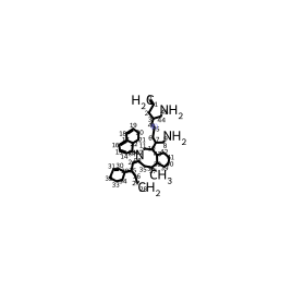 C=CCC(/C=C/CC(CN)C1CN([C@H]2C=CC=C3C=CCCC32)C(CC(CC=C)C2C=CCCC2)CC(C)C2CCCCC21)CN